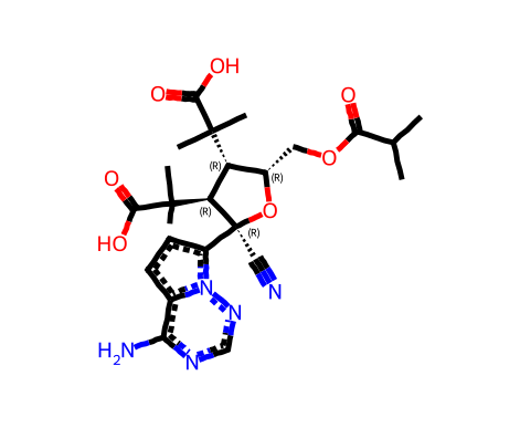 CC(C)C(=O)OC[C@@H]1O[C@@](C#N)(c2ccc3c(N)ncnn23)[C@@H](C(C)(C)C(=O)O)[C@@H]1C(C)(C)C(=O)O